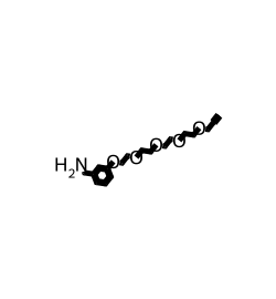 C#CCOCCOCCOCCOCCOc1cccc(CN)c1